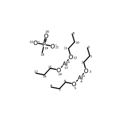 CCC[O][Al+][O]CCC.CCC[O][Al+][O]CCC.CP(=O)([O-])[O-]